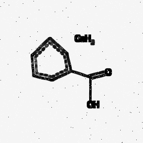 O=C(O)c1ccccc1.[GaH3]